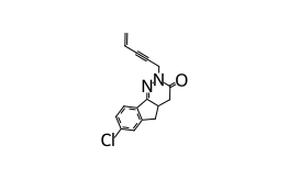 C=CC#CCN1N=C2c3ccc(Cl)cc3CC2CC1=O